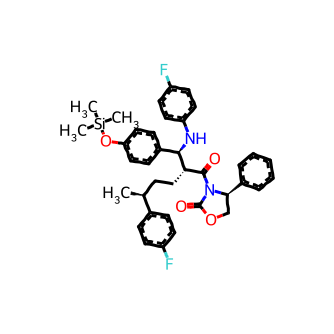 C[C@@H](CC[C@@H](C(=O)N1C(=O)OC[C@@H]1c1ccccc1)[C@H](Nc1ccc(F)cc1)c1ccc(O[Si](C)(C)C)cc1)c1ccc(F)cc1